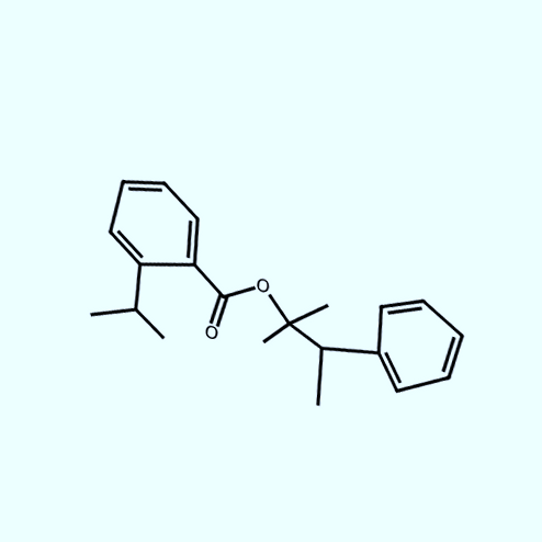 CC(C)c1ccccc1C(=O)OC(C)(C)C(C)c1ccccc1